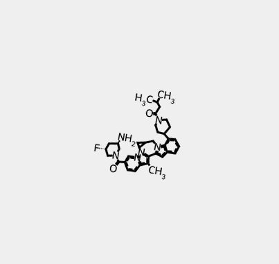 Cc1c(-c2cc3cccc(C4CCN(C(=O)CC(C)C)CC4)c3n2CC2CC2)nn2cc(C(=O)N3C[C@H](N)C[C@@H](F)C3)ccc12